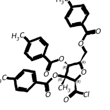 Cc1ccc(C(=O)OC[C@H]2O[C@@H](C(=O)Cl)[C@](C)(OC(=O)c3ccc(C)cc3)[C@@H]2OC(=O)c2ccc(C)cc2)cc1